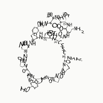 CC[C@H](C)[C@H](NC(=O)[C@H](CC(C)C)NC(=O)[C@@H](CCN)NC(=O)[C@@H]1CSSC[C@H](NC(C)=O)C(=O)N2CCC[C@H]2C(=O)N2CCC[C@H]2C(=O)N[C@@H](Cc2ccc(O)cc2)C(=O)N[C@@H](CC(C)C)C(=O)N2CCC[C@H]2C(=O)N[C@H](CN)C(=O)N[C@@H](Cc2ccc(O)cc2)C(=O)N[C@@H](CC(C)C)C(=O)N1)C(N)=O